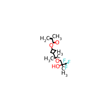 C=C(C)C(=O)OC1CC(C(C)(C)OCC(C)(O)C(F)(F)F)C1